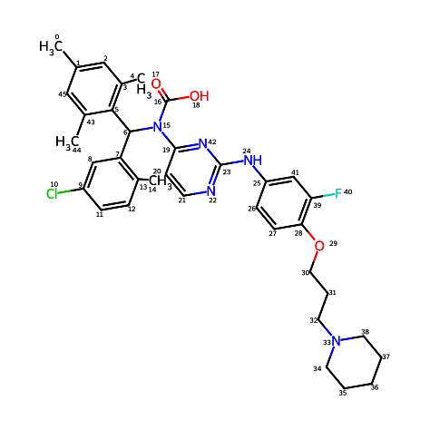 Cc1cc(C)c(C(c2cc(Cl)ccc2C)N(C(=O)O)c2ccnc(Nc3ccc(OCCCN4CCCCC4)c(F)c3)n2)c(C)c1